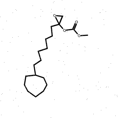 COC(=O)OC1(CCCCCCCC2CCCCCCC2)CO1